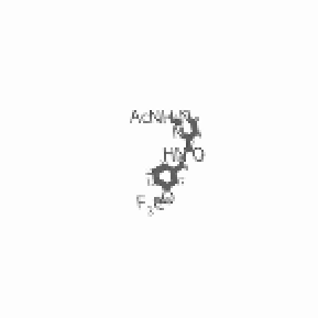 CC(=O)Nc1nccc(C(=O)NCc2cccc(OC(F)(F)F)c2)n1